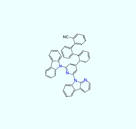 N#Cc1ccccc1-c1ccccc1-c1ccccc1-c1cc(-n2c3ccccc3c3ccccc32)nc(-n2c3ccccc3c3cccnc32)c1